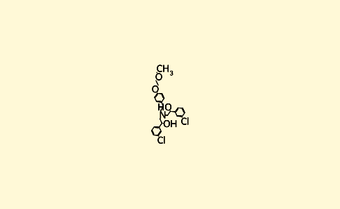 CCOCCOc1ccc(CCN(C[C@H](O)c2cccc(Cl)c2)C[C@H](O)c2cccc(Cl)c2)cc1